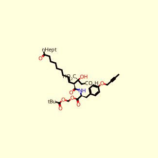 CC#CCOc1ccc(C[C@H](NC(=O)[C@@H](/C=C/CCCCCCC(=O)CCCCCCC)[C@@](O)(CC(=O)O)C(=O)O)C(=O)OCOC(=O)C(C)(C)C)cc1